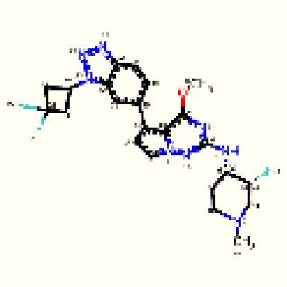 COc1nc(N[C@H]2CCN(C)C[C@H]2F)nn2ccc(-c3ccc4nnn(C5CC(F)(F)C5)c4c3)c12